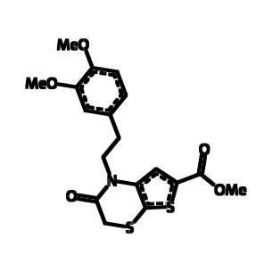 COC(=O)c1cc2c(s1)SCC(=O)N2CCc1ccc(OC)c(OC)c1